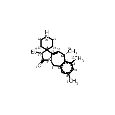 CCN1C(=O)N2Cc3cc(C)cc(C)c3[C@@H](C)C=C2C12CCNCC2